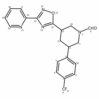 O=CN1CC(c2ccc(C(F)(F)F)cc2)CC(c2nc(-c3ccccn3)no2)C1